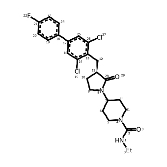 CCNC(=O)N1CCC(N2CC[C@@H](Cc3c(Cl)cc(-c4ccc(F)cc4)cc3Cl)C2=O)CC1